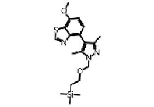 COc1ccc(-c2c(C)nn(COCC[Si](C)(C)C)c2C)c2ncsc12